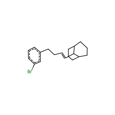 Brc1cccc(CC/C=C/C2C3CCCC2CCC3)c1